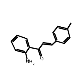 Cc1ccc(C=CC(=O)c2ccccc2N)cc1